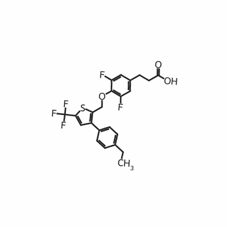 CCc1ccc(-c2cc(C(F)(F)F)sc2COc2c(F)cc(CCC(=O)O)cc2F)cc1